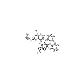 CCOC(=O)C1Cc2c(ccc(OC)c2COCC2CC2)CN1C(=O)C(c1ccccc1)c1ccccc1